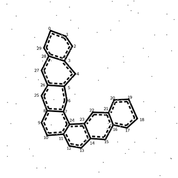 c1ccc2cc3cc4c(ccc5ccc6cc7ccccc7cc6c54)cc3cc2c1